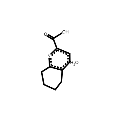 O.O=C(O)c1ccc2c(n1)CCCC2